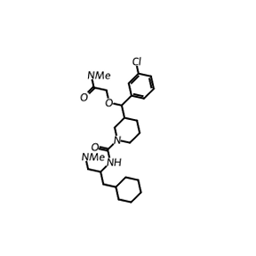 CNCC(CC1CCCCC1)NC(=O)N1CCCC(C(OCC(=O)NC)c2cccc(Cl)c2)C1